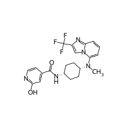 CN(c1cccc2nc(C(F)(F)F)cn12)[C@H]1CC[C@@H](NC(=O)c2ccnc(O)c2)CC1